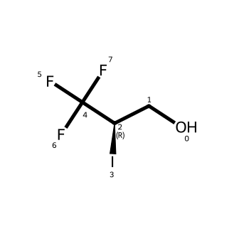 OC[C@@H](I)C(F)(F)F